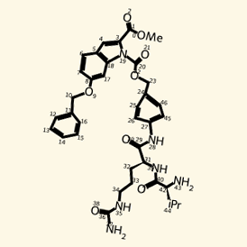 COC(=O)c1cc2ccc(OCc3ccccc3)cc2n1C(=O)OCc1ccc(NC(=O)[C@H](CCCNC(N)=O)NC(=O)[C@@H](N)C(C)C)cc1